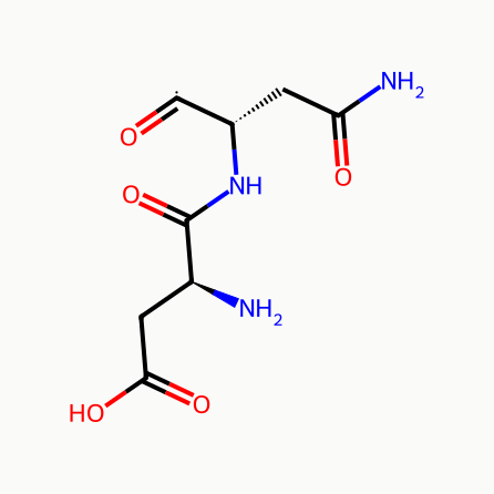 NC(=O)C[C@@H]([C]=O)NC(=O)[C@@H](N)CC(=O)O